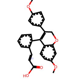 COc1ccc(C2=C(c3ccccc3/C=C/C(=O)O)c3ccc(OC)cc3OC2)cc1